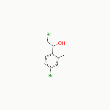 Cc1cc(Br)ccc1C(O)CBr